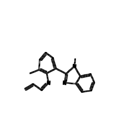 C=C/C=N\c1c(C)cccc1-c1nc2ccccc2n1C